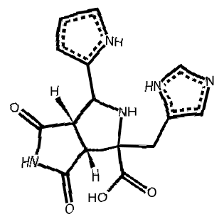 O=C1NC(=O)[C@@H]2[C@H]1C(c1ccc[nH]1)NC2(Cc1cnc[nH]1)C(=O)O